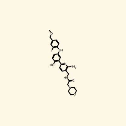 COCc1ccc(Nc2ccc(O)c(-c3ccc(CNC(=O)CN4CCOCC4)c(N)n3)c2)c(F)c1